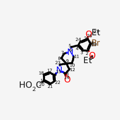 CCOc1cc(CN2CCC3(CC2)CC(=O)N(c2ccc(C(=O)O)cc2)C3)cc(OCC)c1Br